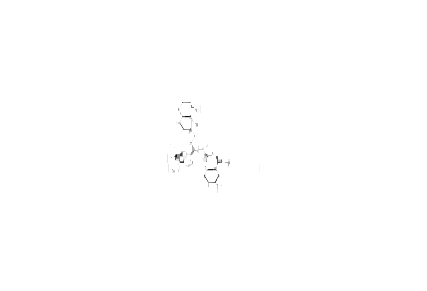 CCCN(CCc1ccc2c(n1)NCCC2)CC(=O)N[C@@H](CC(=O)O)c1cccc(F)c1.O=C(O)C(F)(F)F